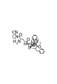 CC(NC(=O)CCC(N)C(=O)N1CCCC1C#N)P(=O)(CC(Cc1ccccc1)C(=O)NCc1ccccc1)OC(=O)C(F)(F)F